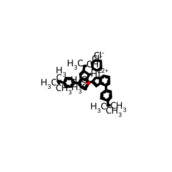 CC(C)C1=Cc2c(-c3ccc(C(C)(C)C)cc3)cccc2[CH]1[Hf+2]1([CH]2C(C(C)C)=Cc3c(-c4ccc(C(C)(C)C)cc4)cccc32)[CH]2CCCC[CH]21.[Cl-].[Cl-]